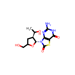 CC(O)[C@@H]1CC(CO)O[C@H]1n1c(=O)sc2c(=O)[nH]c(N)nc21